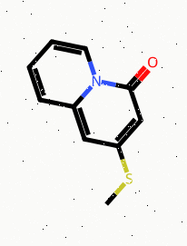 CSc1cc(=O)n2ccccc2c1